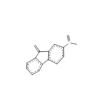 O=C1c2c[c]ccc2-c2ccc([N+](=O)[O-])cc21